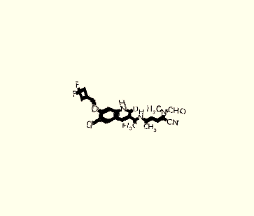 C/C(=C\C=C(\C#N)N(C)C=O)NC(C)c1cc2cc(Cl)c(OCC3CC(F)(F)C3)cc2[nH]c1=O